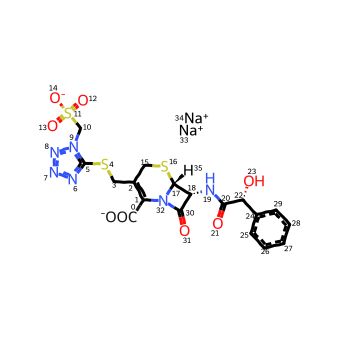 O=C([O-])C1=C(CSc2nnnn2CS(=O)(=O)[O-])CS[C@@H]2[C@H](NC(=O)[C@H](O)c3ccccc3)C(=O)N12.[Na+].[Na+]